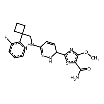 COc1nc(C2C=CC(NCC3(c4ncccc4F)CCC3)=NN2)sc1C(N)=O